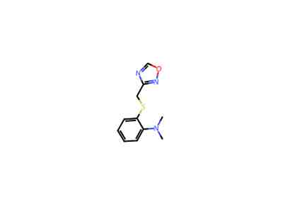 CN(C)c1ccccc1SCc1ncon1